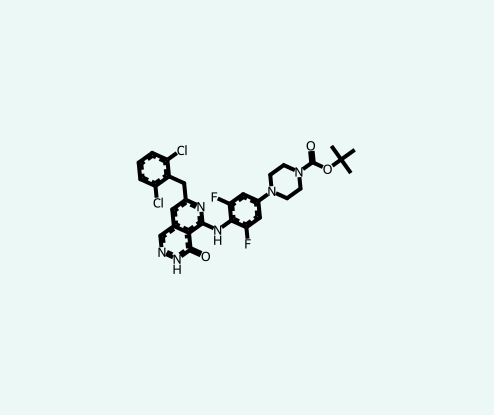 CC(C)(C)OC(=O)N1CCN(c2cc(F)c(Nc3nc(Cc4c(Cl)cccc4Cl)cc4cn[nH]c(=O)c34)c(F)c2)CC1